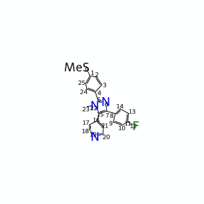 CSc1ccc(-c2nc(-c3ccc(F)cc3)c(-c3ccncc3)n2C)cc1